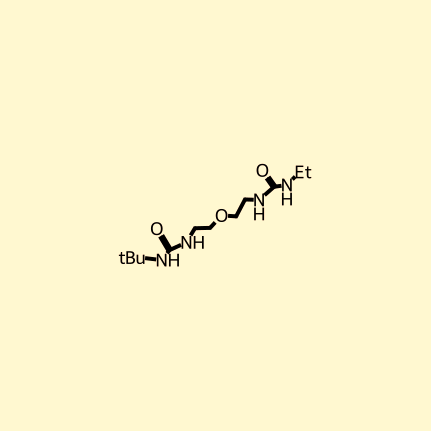 CCNC(=O)NCCOCCNC(=O)NC(C)(C)C